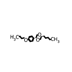 CCCCC[C@H]1CO[C@H](c2ccc(OCCCC)cc2)CO1